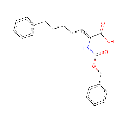 O=C(N/C(=C\CCCCc1ccccc1)C(=O)O)OCc1ccccc1